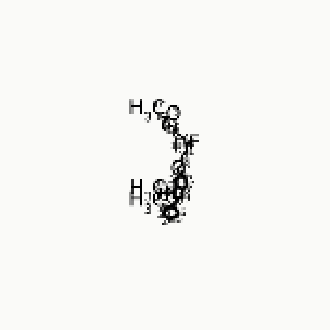 CCC(=O)OCCCC(F)(F)CCCOc1ccc2cc(-c3ccccc3)n(C(C)C)c2c1